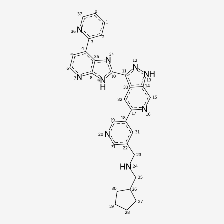 c1ccc(-c2ccnc3[nH]c(-c4n[nH]c5cnc(-c6cncc(CNCC7CCCC7)c6)cc45)nc23)nc1